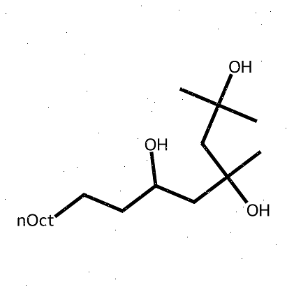 CCCCCCCCCCC(O)CC(C)(O)CC(C)(C)O